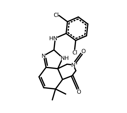 CC1(C)C=CC2=NC(Nc3c(Cl)cccc3Cl)NC23C[N+](=O)CC(=O)C13